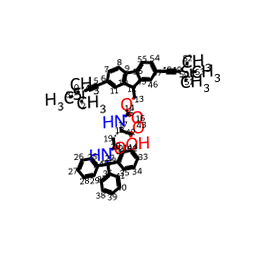 C[Si](C)(C)C#Cc1ccc2c(c1)C(COC(=O)N[C@@H](CC(=O)NC(c1ccccc1)(c1ccccc1)c1ccccc1)C(=O)O)c1cc(C#C[Si](C)(C)C)ccc1-2